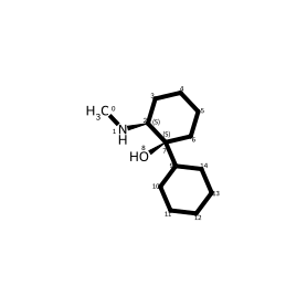 CN[C@H]1CCCC[C@]1(O)C1CCCCC1